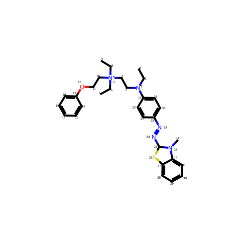 CCN(CC[N+](CC)(CC)CCOc1ccccc1)c1ccc(N=NC2Sc3ccccc3N2C)cc1